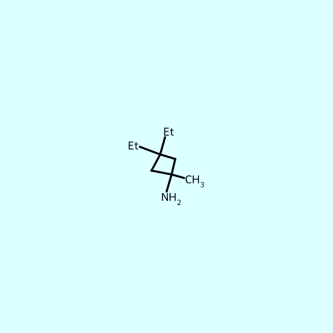 CCC1(CC)CC(C)(N)C1